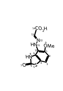 COc1ccc2sc(=O)[nH]c2c1NN=CC(=O)O